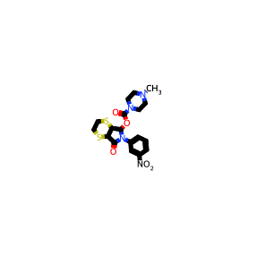 CN1CCN(C(=O)OC2C3SCCSC3C(=O)N2c2cccc([N+](=O)[O-])c2)CC1